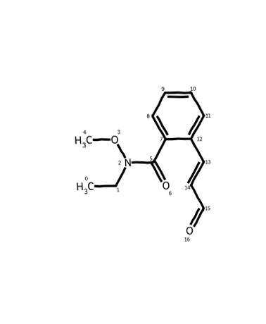 CCN(OC)C(=O)c1ccccc1/C=C/[C]=O